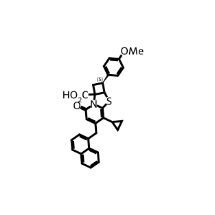 COc1ccc([C@@H]2CC3(C(=O)O)C2Sc2c(C4CC4)c(Cc4cccc5ccccc45)cc(=O)n23)cc1